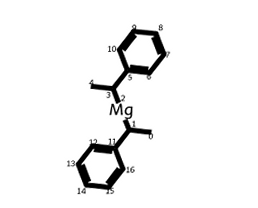 C[CH]([Mg][CH](C)c1ccccc1)c1ccccc1